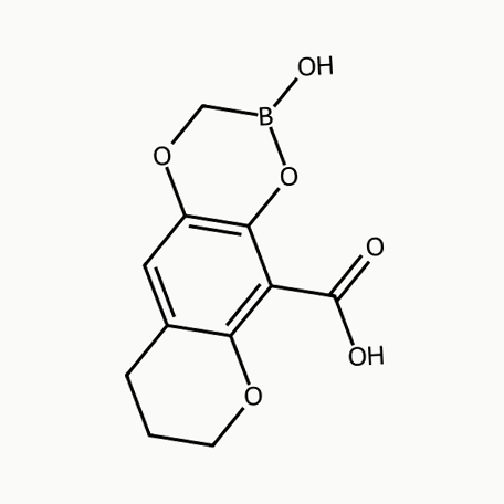 O=C(O)c1c2c(cc3c1OB(O)CO3)CCCO2